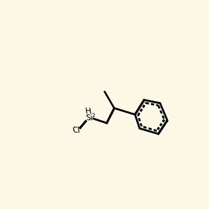 CC(C[SiH2]Cl)c1ccccc1